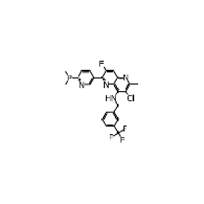 Cc1nc2cc(F)c(-c3ccc(P(C)C)nc3)nc2c(NCc2cccc(C(F)(F)F)c2)c1Cl